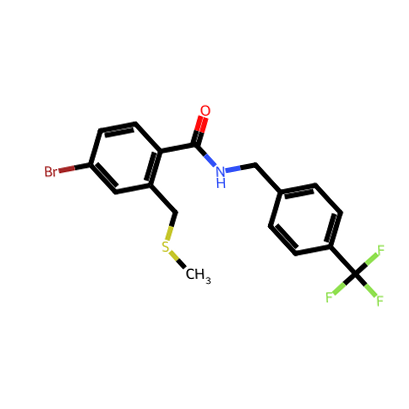 CSCc1cc(Br)ccc1C(=O)NCc1ccc(C(F)(F)F)cc1